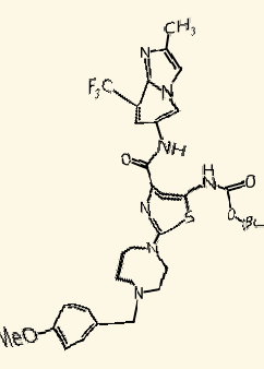 COc1ccc(CN2CCN(c3nc(C(=O)Nc4cc(C(F)(F)F)c5nc(C)cn5c4)c(NC(=O)OC(C)(C)C)s3)CC2)cc1